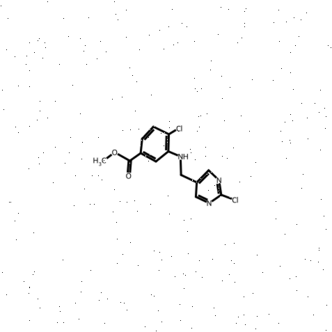 COC(=O)c1ccc(Cl)c(NCc2cnc(Cl)nc2)c1